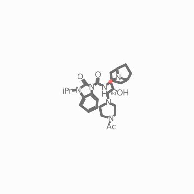 CC(=O)N1CCN(C[C@@H](O)CN2C3CCC2CC(NC(=O)n2c(=O)n(C(C)C)c4ccccc42)C3)CC1